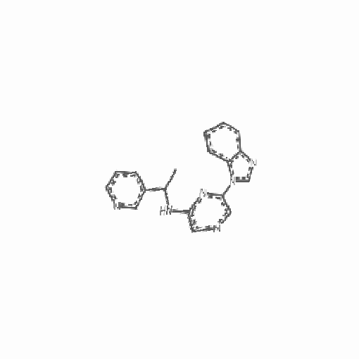 CC(Nc1cncc(-n2cnc3ccccc32)n1)c1cccnc1